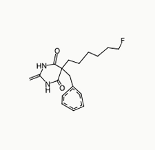 C=C1NC(=O)C(CCCCCCF)(Cc2ccccc2)C(=O)N1